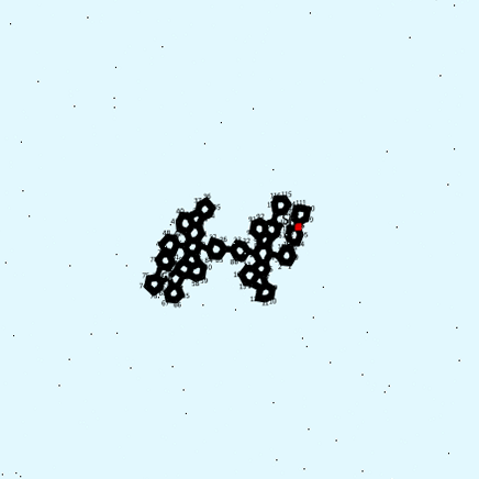 c1ccc(-c2c3cc4c5ccccc5c5cccc(c3c(-c3ccc(-c6ccc(-c7c8cc9c%10ccccc%10c%10cccc(c8c(-c8ccccc8)c8c%11cc%12c(c%13cccc(c78)c%13%11)-c7ccccc7[Si]%127c8ccccc8-c8ccccc87)c%109)cc6)cc3)c3c6cccc7c8c(cc(c23)c76)[Si](c2ccccc2)(c2ccccc2)c2ccccc2-8)c54)cc1